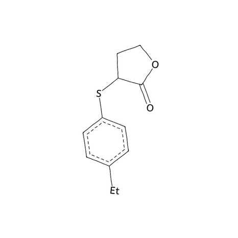 CCc1ccc(SC2CCOC2=O)cc1